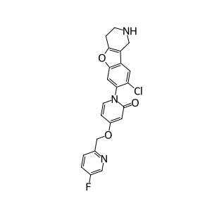 O=c1cc(OCc2ccc(F)cn2)ccn1-c1cc2oc3c(c2cc1Cl)CNCC3